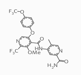 COc1c(C(F)(F)F)ncc(Oc2ccc(OC(F)(F)F)cc2)c1C(=O)Nc1cc(C(N)=O)ncc1C